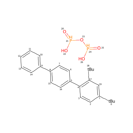 CC(C)(C)c1ccc(-c2ccc(-c3ccccc3)cc2)c(C(C)(C)C)c1.O=[PH](O)O[PH](=O)O